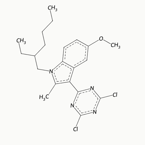 CCCCC(CC)Cn1c(C)c(-c2nc(Cl)nc(Cl)n2)c2cc(OC)ccc21